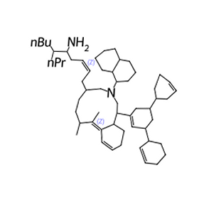 CCCCC(CCC)C(N)C/C=C\CC1CCC(C)/C(C)=C2\C=CCCC2C(C2=CC(C3C=CCCC3)CC(C3CC=CCC3)C2)CN(C2CCCC3CCCCC32)C1